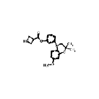 COc1ccc2c(c1)OC(C)(C)CN2c1cccc(OC(=O)C2CNC2)c1